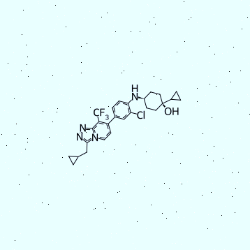 O[C@]1(C2CC2)CC[C@H](Nc2ccc(-c3ccn4c(CC5CC5)nnc4c3C(F)(F)F)cc2Cl)CC1